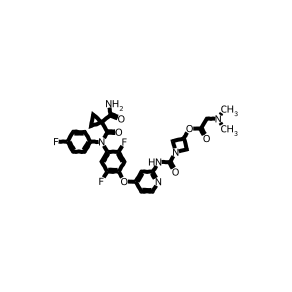 CN(C)CC(=O)OC1CN(C(=O)Nc2cc(Oc3cc(F)c(N(C(=O)C4(C(N)=O)CC4)c4ccc(F)cc4)cc3F)ccn2)C1